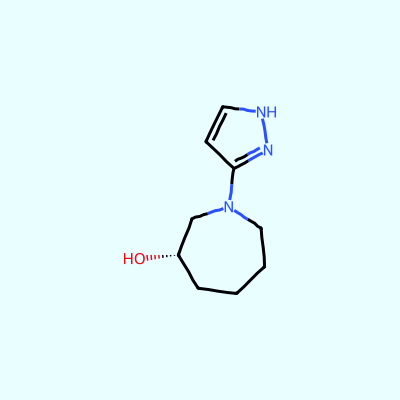 O[C@H]1CCCCN(c2cc[nH]n2)C1